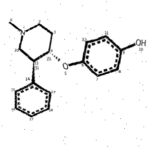 CN1CC[C@H](Oc2ccc(O)cc2)[C@@H](c2ccccc2)C1